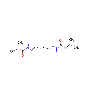 CC(C)CC(=O)NCCCCCCNC(=O)C(C)C